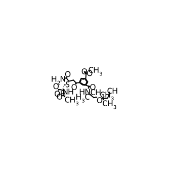 C#CCC(C)(C)OCCC(C)(C)NC(=O)c1cc(C(=O)CC(SC[C@H](NC(C)=O)C(=O)O)C(N)=O)cc(C(=O)OC)c1